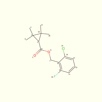 CC1(C)C(C(=O)OCc2c(F)cccc2Cl)C1(C)C